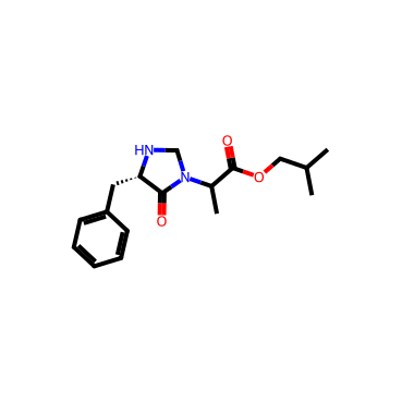 CC(C)COC(=O)C(C)N1CN[C@@H](Cc2ccccc2)C1=O